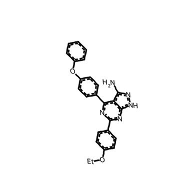 CCOc1ccc(-c2nc(-c3ccc(Oc4ccccc4)cc3)c3c(N)n[nH]c3n2)cc1